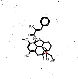 CC(=O)OC1=CC(O)=C2C[C@@H]3[C@@H]4CCC[C@@H]5OC1(NC(=O)C(=Cc1ccccc1)C(F)(F)F)C2[C@@]54CC[N+]3(C)CC(C)C